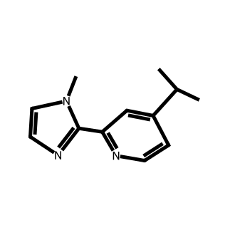 CC(C)c1ccnc(-c2nccn2C)c1